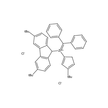 CC(C)(C)C1=CC[C]([Zr+2](=[C](c2ccccc2)c2ccccc2)[CH]2c3ccc(C(C)(C)C)cc3-c3cc(C(C)(C)C)ccc32)=C1.[Cl-].[Cl-]